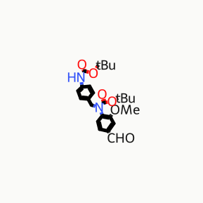 COc1cc(C=O)ccc1N(Cc1ccc(NC(=O)OC(C)(C)C)cc1)C(=O)OC(C)(C)C